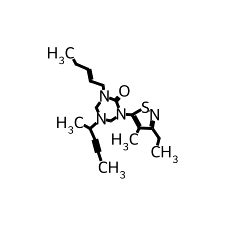 CC#CC(C)N1CN(C/C=C/CC)C(=O)N(c2snc(CC)c2C)C1